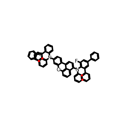 Fc1cc(-c2ccccc2)cc(-c2ccccc2)c1N(c1ccccc1)c1ccc2c3c(cccc13)Oc1cc(N(c3ccccc3-c3ccccc3)c3cccc4c3oc3ccccc34)ccc1-2